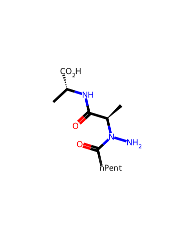 CCCCCC(=O)N(N)[C@H](C)C(=O)N[C@H](C)C(=O)O